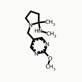 CNC1(C)CCCN1Cc1cnc(OC)nc1